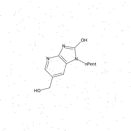 CCCCCn1c(O)nc2ncc(CO)cc21